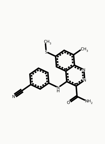 CSc1cc(C)c2nnc(C(N)=O)c(Nc3cccc(C#N)c3)c2c1